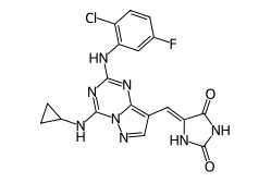 O=C1NC(=O)/C(=C/c2cnn3c(NC4CC4)nc(Nc4cc(F)ccc4Cl)nc23)N1